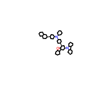 c1ccc(N(c2ccc(-c3ccc4ccccc4c3)cc2)c2ccc(-c3cc(-n4c5ccccc5c5ccccc54)cc4c3oc3ccccc34)cc2)cc1